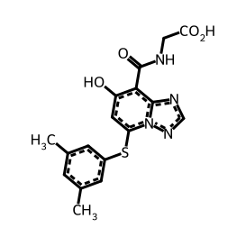 Cc1cc(C)cc(Sc2cc(O)c(C(=O)NCC(=O)O)c3ncnn23)c1